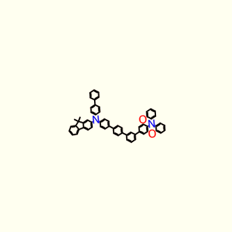 CC1(C)c2ccccc2-c2ccc(N(c3ccc(-c4ccccc4)cc3)c3ccc(-c4ccc(-c5cccc(-c6cc7c8c(c6)Oc6ccccc6N8c6ccccc6O7)c5)cc4)cc3)cc21